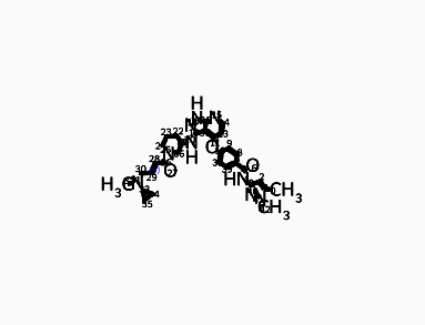 Cc1cc(NC(=O)c2ccc(Oc3ccnc4[nH]nc(N[C@@H]5CCCN(C(=O)/C=C/CN(C)C6CC6)C5)c34)cc2)nn1C